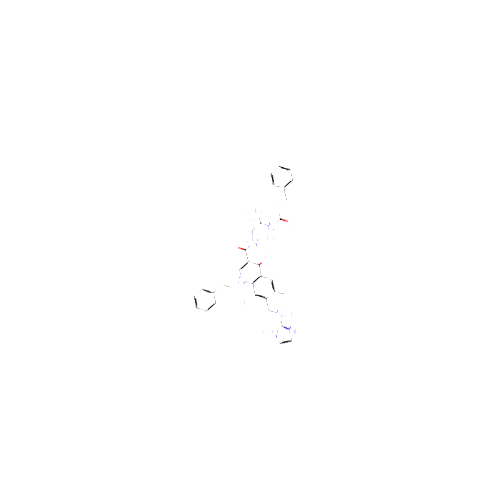 O=C(NC(CNC(=O)c1cn(CCc2ccccc2)c2c(F)c(CNc3ncc[nH]3)c(F)cc2c1=O)C(=O)O)OCc1ccccc1